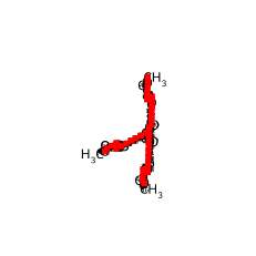 CCOC(=O)/C=C/c1ccc(OCCCCCCCC(=O)OCC(COC(=O)CCCCCCCOc2ccc(/C=C/C(=O)OCC)cc2)OC(=O)CCCCCCCOc2ccc(/C=C/C(=O)OCC)cc2)cc1